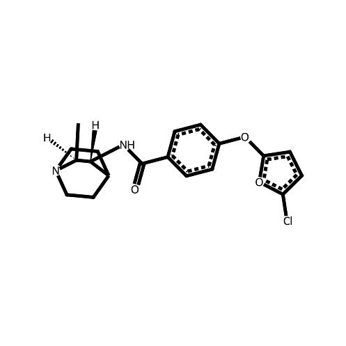 C[C@H]1[C@H](NC(=O)c2ccc(Oc3ccc(Cl)o3)cc2)C2CCN1CC2